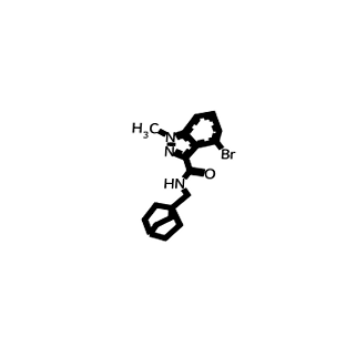 Cn1nc(C(=O)NCC23CCC(CC2)CC3)c2c(Br)cccc21